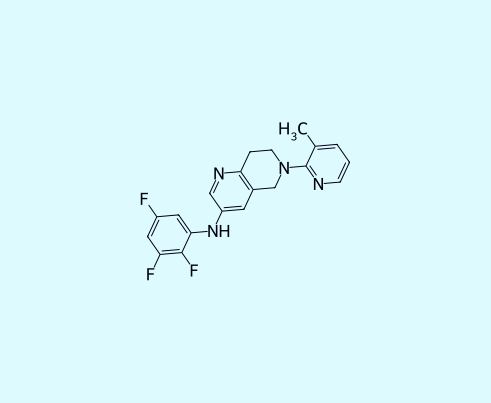 Cc1cccnc1N1CCc2ncc(Nc3cc(F)cc(F)c3F)cc2C1